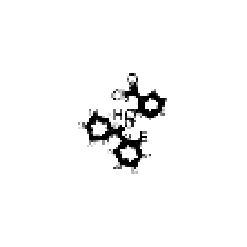 O=C(Cl)c1ccccc1O.O=C(c1ccccc1)c1ccccc1F